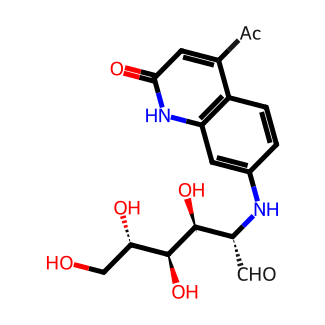 CC(=O)c1cc(=O)[nH]c2cc(N[C@H](C=O)[C@H](O)[C@@H](O)[C@@H](O)CO)ccc12